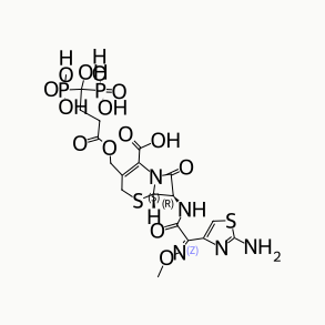 CO/N=C(\C(=O)N[C@@H]1C(=O)N2C(C(=O)O)=C(COC(=O)CCC(O)(P(=O)(O)O)P(=O)(O)O)CS[C@@H]12)c1csc(N)n1